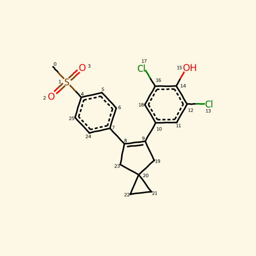 CS(=O)(=O)c1ccc(C2=C(c3cc(Cl)c(O)c(Cl)c3)CC3(CC3)C2)cc1